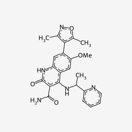 COc1cc2c(NC(C)c3ccccn3)c(C(N)=O)c(=O)[nH]c2cc1-c1c(C)noc1C